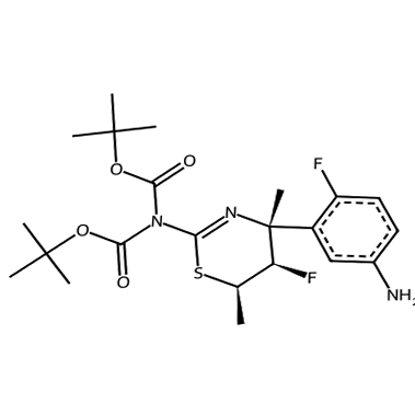 C[C@H]1SC(N(C(=O)OC(C)(C)C)C(=O)OC(C)(C)C)=N[C@](C)(c2cc(N)ccc2F)[C@H]1F